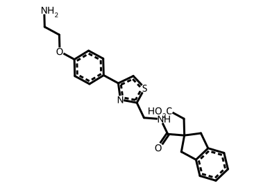 NCCOc1ccc(-c2csc(CNC(=O)C3(CC(=O)O)Cc4ccccc4C3)n2)cc1